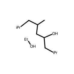 CC(C)CC(C)CC(O)CC(C)C.CCO